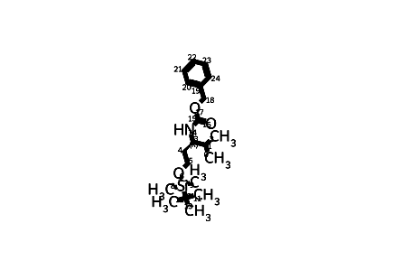 CC(C)[C@@H](CCO[Si](C)(C)C(C)(C)C)NC(=O)OCc1ccccc1